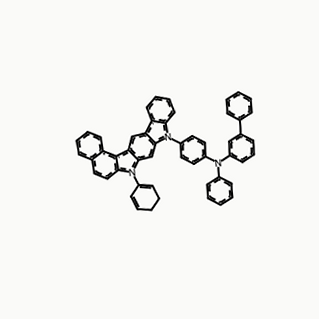 C1=CC(n2c3cc4c(cc3c3c5ccccc5ccc32)c2ccccc2n4-c2ccc(N(c3ccccc3)c3cccc(-c4ccccc4)c3)cc2)=CCC1